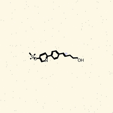 C[Si](C)(C)Oc1ccc(-c2ccc(/C=C/CCCO)cc2)nc1